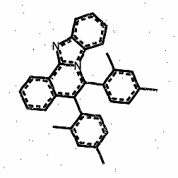 Cc1ccc(-c2c(-c3ccc(C)cc3C)n3c4ccccc4nc3c3ccccc23)c(C)c1